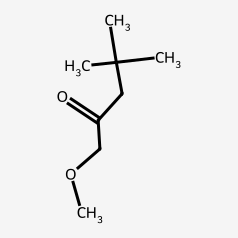 COCC(=O)CC(C)(C)C